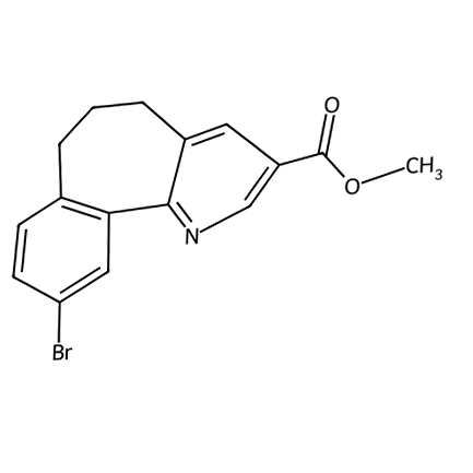 COC(=O)c1cnc2c(c1)CCCc1ccc(Br)cc1-2